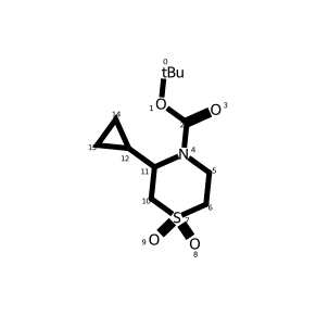 CC(C)(C)OC(=O)N1CCS(=O)(=O)CC1C1CC1